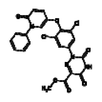 COC(=O)c1nn(-c2cc(Cl)c(Oc3ccc(=O)n(-c4ccccc4)c3)c(Cl)c2)c(=O)[nH]c1=O